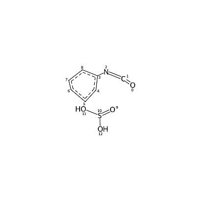 O=C=Nc1ccccc1.O=S(O)O